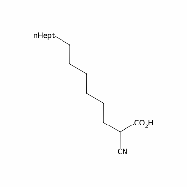 CCCCCCCCCCCCCC(C#N)C(=O)O